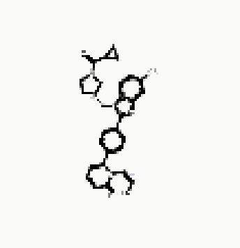 C=C1C=CC=C(c2ccc(-c3nc4cc(C(F)(F)F)ccc4n3C[C@@H]3CCN(C(=O)C4CC4)C3)cc2)N1/C=C\N